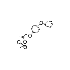 C[C@H](COc1ccc(Oc2ccccc2)cc1)OS(C)(=O)=O